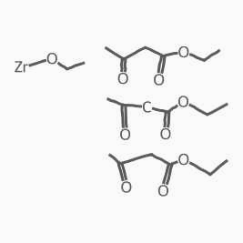 CCOC(=O)CC(C)=O.CCOC(=O)CC(C)=O.CCOC(=O)CC(C)=O.CC[O][Zr]